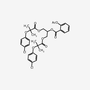 CC(=O)Oc1ccccc1C(=O)OC(COC(=O)C(C)(C)Oc1ccc(Cl)cc1)COC(=O)C(C)(C)Oc1ccc(Cl)cc1